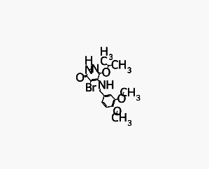 COc1ccc(CNc2c(OC(C)C)n[nH]c(=O)c2Br)cc1OC